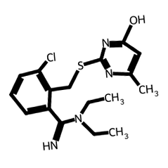 CCN(CC)C(=N)c1cccc(Cl)c1CSc1nc(C)cc(O)n1